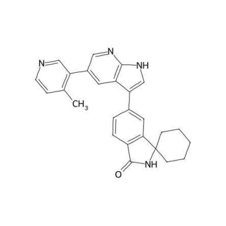 Cc1ccncc1-c1cnc2[nH]cc(-c3ccc4c(c3)C3(CCCCC3)NC4=O)c2c1